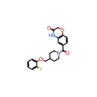 O=C1COc2ccc(C(=O)N3CCC(COc4ccccc4F)CC3)cc2N1